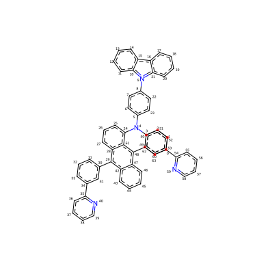 c1ccc(N(c2ccc(-n3c4ccccc4c4ccccc43)cc2)c2cccc3c(-c4cccc(-c5ccccn5)c4)c4ccccc4c(-c4cccc(-c5ccccn5)c4)c23)cc1